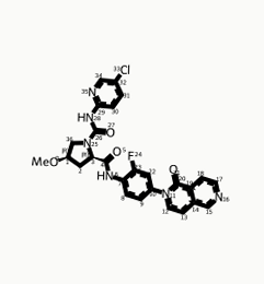 CO[C@@H]1C[C@H](C(=O)Nc2ccc(-n3ccc4cnccc4c3=O)cc2F)N(C(=O)Nc2ccc(Cl)cn2)C1